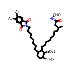 CCCCCCCCC1C(CCCCCC)CCC(CCCCCCCCN2C(=O)c3cc(C(C)=O)c(C(C)=O)cc3C2=O)C1CCCCCCCCC(C)CC(=O)NC=O